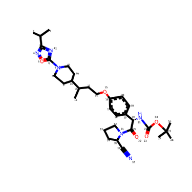 CC(C)c1noc(N2CCC(C(C)CCOc3ccc([C@H](NC(=O)OC(C)(C)C)C(=O)N4CCCC4C#N)cc3)CC2)n1